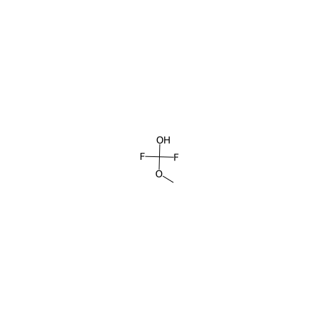 COC(O)(F)F